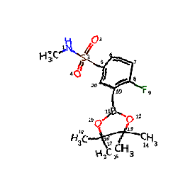 CNS(=O)(=O)c1ccc(F)c(B2OC(C)(C)C(C)(C)O2)c1